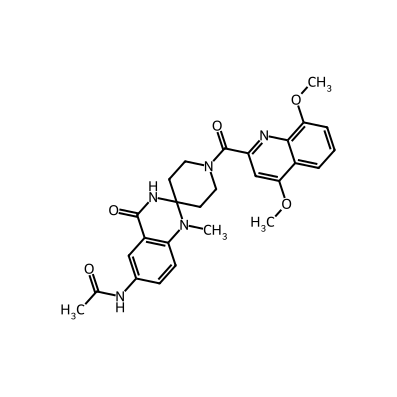 COc1cc(C(=O)N2CCC3(CC2)NC(=O)c2cc(NC(C)=O)ccc2N3C)nc2c(OC)cccc12